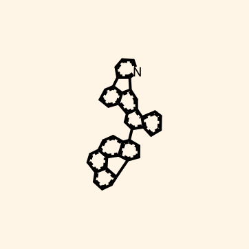 c1cnc2c(c1)-c1cccc3c1c-2cc1c2ccccc2c(-c2ccc4c5c2ccc2ccc6cccc-4c6c25)cc31